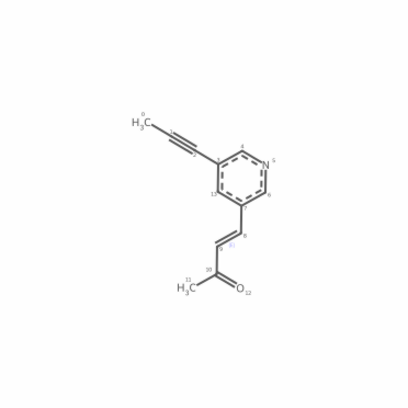 CC#Cc1cncc(/C=C/C(C)=O)c1